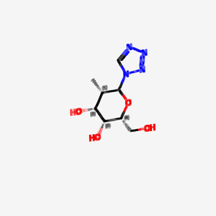 C[C@@H]1C(n2cnnn2)O[C@H](CO)[C@H](O)[C@@H]1O